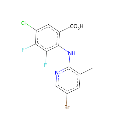 Cc1cc(Br)cnc1Nc1c(C(=O)O)cc(Cl)c(F)c1F